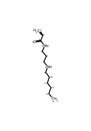 C=CC(=O)NCCCNCCCCCC